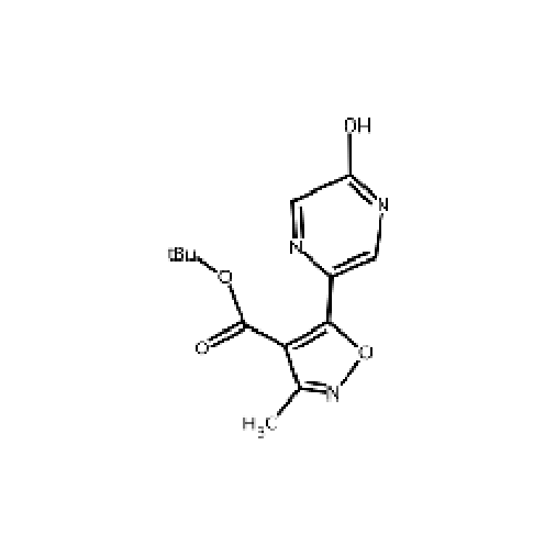 Cc1noc(-c2cnc(O)cn2)c1C(=O)OC(C)(C)C